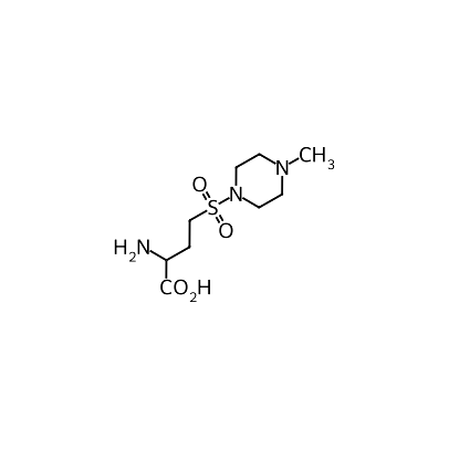 CN1CCN(S(=O)(=O)CCC(N)C(=O)O)CC1